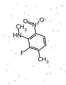 CNc1c([N+](=O)[O-])ccc(C)c1F